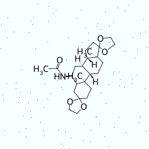 CC(=O)N[C@H]1C[C@@H]2[C@H](CC[C@@]3(C)[C@H]2CCC32OCCO2)[C@@]2(C)CCC3(CC12)OCCO3